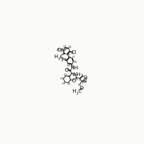 COCc1nocc1C(=O)NC(C(=O)Nc1ccc(-c2c(Cl)cc[n+]([O-])c2C)c(F)c1)C1CCCCC1